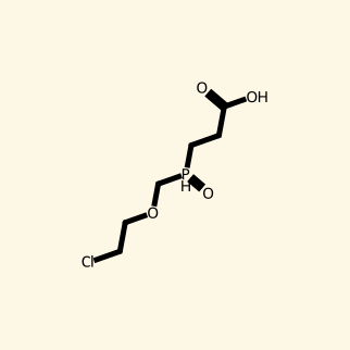 O=C(O)CC[PH](=O)COCCCl